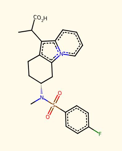 CC(C(=O)O)c1c2c(n3ccccc13)C[C@H](N(C)S(=O)(=O)c1ccc(F)cc1)CC2